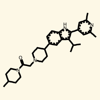 Cc1cc(-c2[nH]c3ccc(C4CCN(CC(=O)N5CCC(C)CC5)CC4)cc3c2C(C)C)cc(C)n1